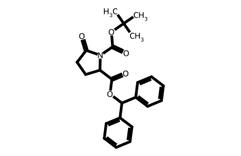 CC(C)(C)OC(=O)N1C(=O)CCC1C(=O)OC(c1ccccc1)c1ccccc1